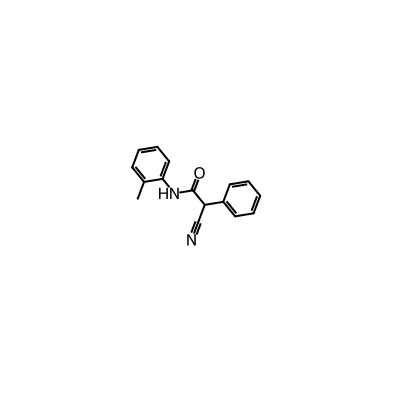 Cc1ccccc1NC(=O)C(C#N)c1ccccc1